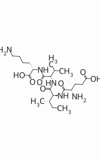 CC[C@H](C)[C@H](NC(=O)[C@@H](N)CCC(=O)O)C(=O)N[C@H](C(=O)N[C@@H](CCCCN)C(=O)O)C(C)C